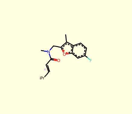 Cc1c(CN(C)C(=O)/C=C/C(C)C)oc2cc(F)ccc12